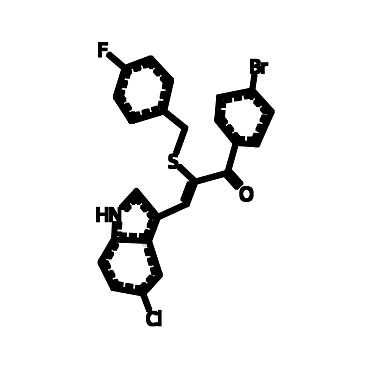 O=C(C(=Cc1c[nH]c2ccc(Cl)cc12)SCc1ccc(F)cc1)c1ccc(Br)cc1